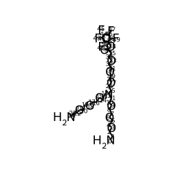 NCCOCCOCCOCCN(CCOCCOCCOCCN)CCOCCOCCOCCC(=O)Oc1c(F)c(F)c(F)c(F)c1F